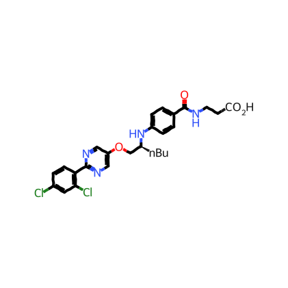 CCCC[C@@H](COc1cnc(-c2ccc(Cl)cc2Cl)nc1)Nc1ccc(C(=O)NCCC(=O)O)cc1